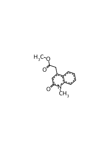 COC(=O)Cc1cc(=O)n(C)c2ccccc12